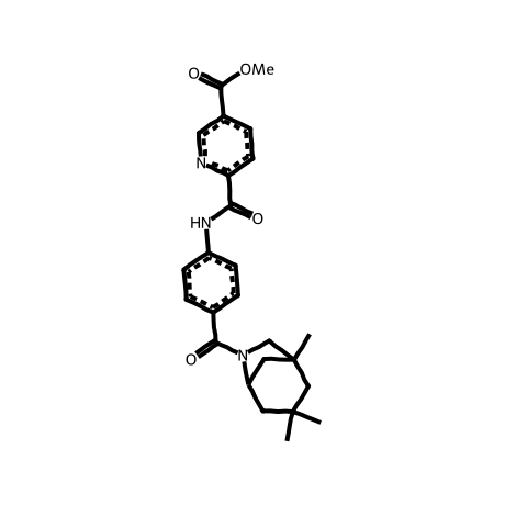 COC(=O)c1ccc(C(=O)Nc2ccc(C(=O)N3CC4(C)CC3CC(C)(C)C4)cc2)nc1